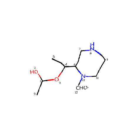 CC(O)OC(C)C1CNCCN1[C]=O